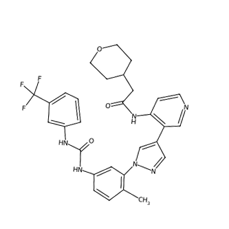 Cc1ccc(NC(=O)Nc2cccc(C(F)(F)F)c2)cc1-n1cc(-c2cnccc2NC(=O)CC2CCOCC2)cn1